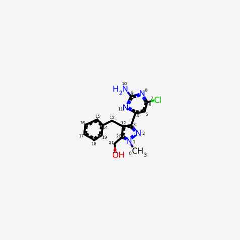 Cn1nc(-c2cc(Cl)nc(N)n2)c(Cc2ccccc2)c1CO